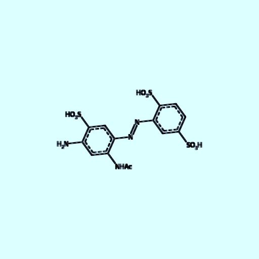 CC(=O)Nc1cc(N)c(S(=O)(=O)O)cc1N=Nc1cc(S(=O)(=O)O)ccc1S(=O)(=O)O